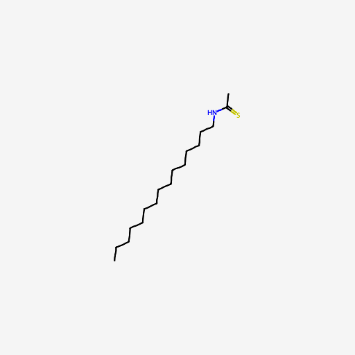 CCCCCCCCCCCCCCCNC(C)=S